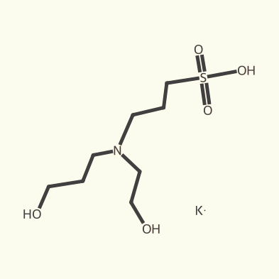 O=S(=O)(O)CCCN(CCO)CCCO.[K]